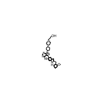 COc1ccccc1Cc1cc2cc(-c3nn(C4CCC(N5CCN(CCCO)CC5)CC4)c4ncnc(N)c34)ccc2[nH]1